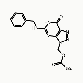 CC(C)(C)C(=O)OCn1nnc2c(=O)[nH]c(NCc3ccccc3)nc21